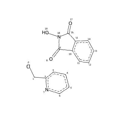 ClCc1ccccn1.O=C1c2ccccc2C(=O)N1O